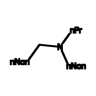 CCCCCCCCCCN(CCC)CCCCCCCCC